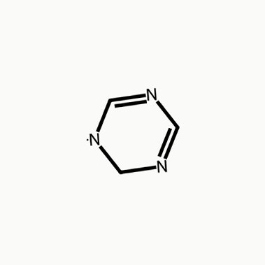 C1=NC=NC[N]1